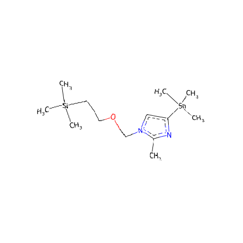 Cc1n[c]([Sn]([CH3])([CH3])[CH3])cn1COCC[Si](C)(C)C